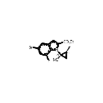 CCOC(=O)c1cc2cc(Br)cc(F)c2n1[C@@]1(C#N)C[C@@H]1C